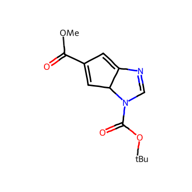 COC(=O)C1=CC2C(=C1)N=CN2C(=O)OC(C)(C)C